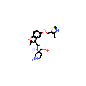 Cc1ncsc1COc1ccc2oc(C)c(C(=O)NC3(CO)CCNC3)c2c1